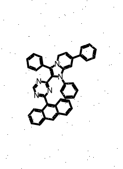 C1=C(c2ccccc2)C=C2N(C1)C(c1ccccc1)=C(c1ncnc(-c3c4ccccc4cc4ccccc34)n1)N2c1ccccc1